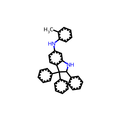 Cc1ccccc1Nc1ccc2c(c1)NC(c1ccccc1)C2(c1ccccc1)c1ccccc1